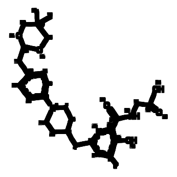 Cc1nc(CC2CCN(c3ccc(CC4OCC(C)(C)CO4)cc3)CC2)nc(C(=O)NCC(=O)O)c1O